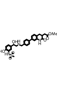 COC(=O)CC1Cc2ccc(-c3ccc(CNC[C@@H](O)c4ccc(O)c(NS(C)(=O)=O)c4)cc3)cc2NC1=O